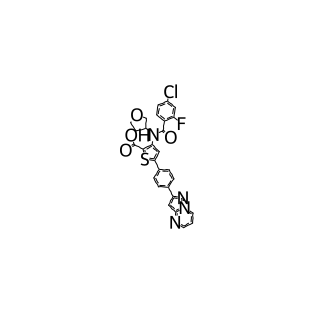 O=C(O)c1sc(-c2ccc(-c3cc4ncccn4n3)cc2)cc1N(C(=O)c1ccc(Cl)cc1F)C1CCOC1